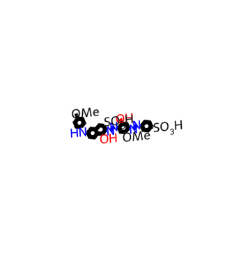 COc1ccc(Nc2ccc3c(O)c(N=Nc4cc(OC)c(N=Nc5ccc(S(=O)(=O)O)cc5)cc4O)c(S(=O)(=O)O)cc3c2)cc1